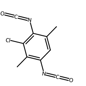 Cc1cc(N=C=O)c(C)c(Cl)c1N=C=O